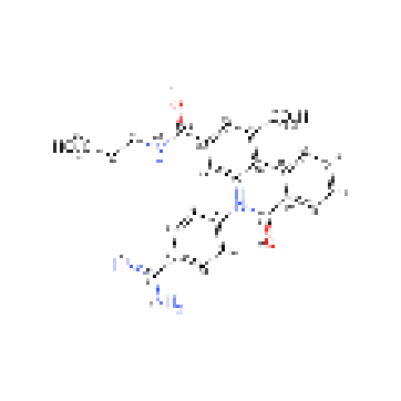 N=C(N)c1ccc(NC(=O)c2ccccc2-c2ccc(C(=O)NCCC(=O)O)cc2C(=O)O)cc1